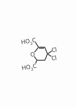 O=C(O)C1=CC(Cl)(Cl)CC(C(=O)O)O1